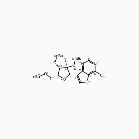 CCCCOC[C@H]1O[C@@H](c2coc3c(Cl)ncnc23)[C@](C)(OCCCC)[C@@H]1OCCCC